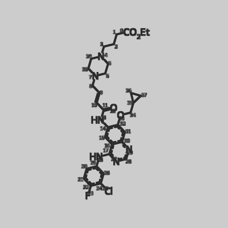 CCOC(=O)CCCN1CCN(C/C=C/C(=O)Nc2cc3c(Nc4ccc(F)c(Cl)c4)ncnc3cc2OCC2CC2)CC1